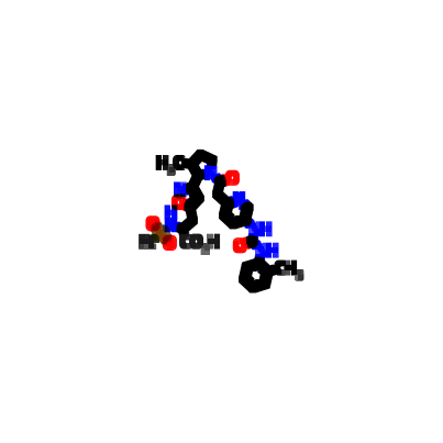 CCS(=O)(=O)NC(Cc1cc(C2C(C)CCN2C(=O)Cc2ccc(NC(=O)Nc3ccccc3C)cn2)no1)C(=O)O